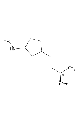 CCCCC[C@H](C)CCC1CCC(NO)C1